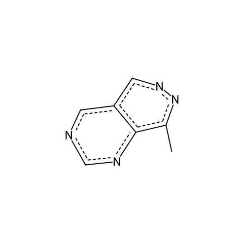 Cc1nncc2cncnc12